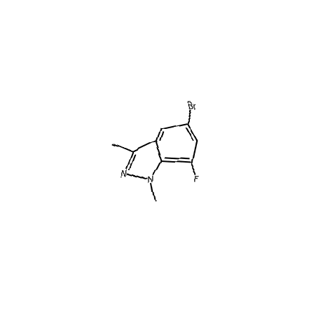 Cc1nn(C)c2c(F)cc(Br)cc12